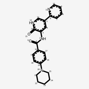 O=C(Nc1cc(-c2ccccn2)c[nH]c1=O)c1ccc(N2CCCCC2)cc1